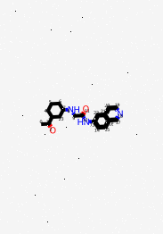 CC(=O)C1CCCC(NCC(=O)Nc2ccc3cnccc3c2)C1